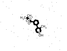 Cc1c[n+](O)ccc1-c1cccc(C(=O)OC(C)(C)C)c1